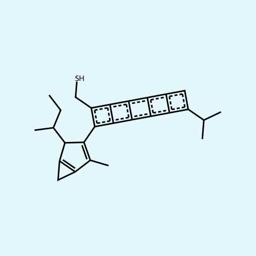 CCC(C)C1C2=C(C2)C(C)=C1c1c(CS)c2c1c1c3c4c(C(C)C)cc4c3c21